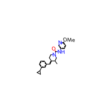 COc1ccc(NC(=O)N2CCC(=Cc3cccc(C4CC4)c3)C(C)C2)cn1